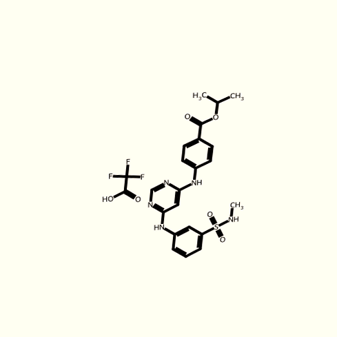 CNS(=O)(=O)c1cccc(Nc2cc(Nc3ccc(C(=O)OC(C)C)cc3)ncn2)c1.O=C(O)C(F)(F)F